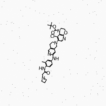 Cc1cc(Nc2cc3c(cn2)CCN(c2cnc4c(c2Cl)N(C(=O)OC(C)(C)C)CCO4)C3)ccc1NC(=O)CN1CCC1